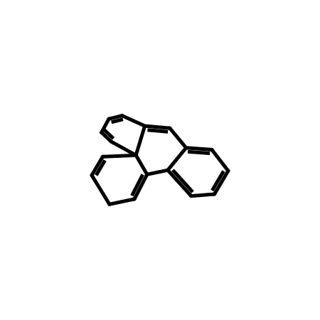 C1=CC2=Cc3ccccc3C3=CCC=CC23C=C1